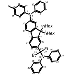 CCCCCCC1(CCCCCC)c2cc(N(c3ccccc3)c3ccc(C)cc3)ccc2-c2ccc(C(CC)(CC)N(c3ccccc3)c3ccccc3)cc21